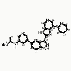 C=C(CCCC)Nc1cncc(-c2ccc3[nH]nc(-c4nc5c(-c6ccccn6)cncc5[nH]4)c3n2)c1